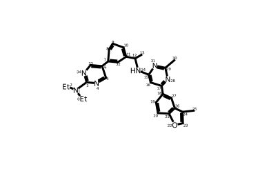 CCN(CC)c1ncc(-c2cccc(C(C)Nc3cc(-c4ccc5occ(C)c5c4)nc(C)n3)c2)cn1